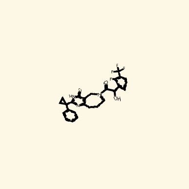 O=C(C(O)c1cccc(C(F)(F)F)c1F)N1CCCc2nc(C3(c4ccccc4)CC3)[nH]c(=O)c2C1